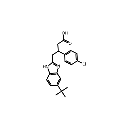 CC(C)(C)c1ccc2[nH]c(CC(CC(=O)O)c3ccc(Cl)cc3)nc2c1